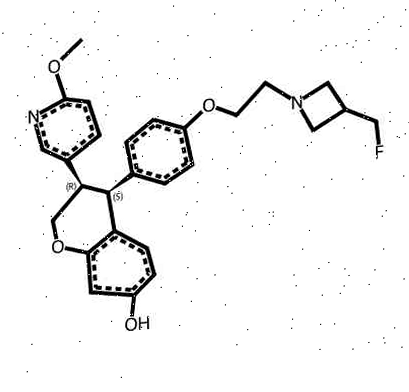 COc1ccc([C@@H]2COc3cc(O)ccc3[C@@H]2c2ccc(OCCN3CC(CF)C3)cc2)cn1